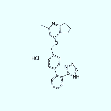 Cc1cc(OCc2ccc(-c3ccccc3-c3nnn[nH]3)cc2)c2c(n1)CCC2.Cl